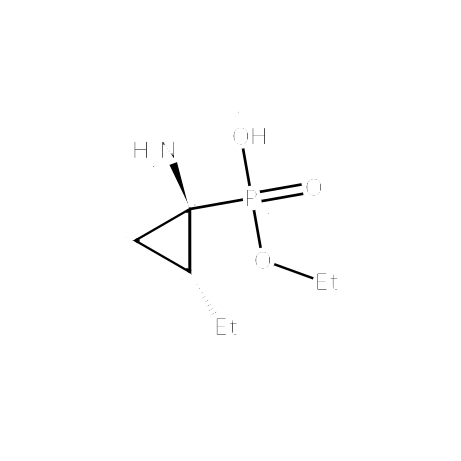 CCOP(=O)(O)[C@@]1(N)C[C@H]1CC